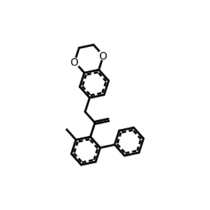 C=C(Cc1ccc2c(c1)OCCO2)c1c(C)cccc1-c1ccccc1